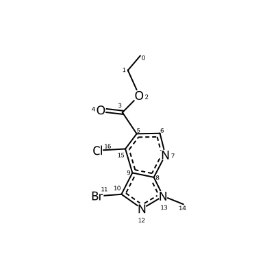 CCOC(=O)c1cnc2c(c(Br)nn2C)c1Cl